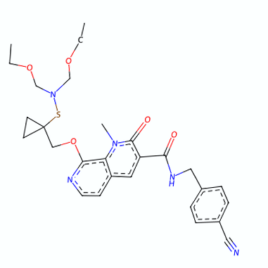 CCOCN(COCC)SC1(COc2nccc3cc(C(=O)NCc4ccc(C#N)cc4)c(=O)n(C)c23)CC1